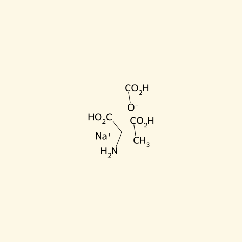 CC(=O)O.NCC(=O)O.O=C([O-])O.[Na+]